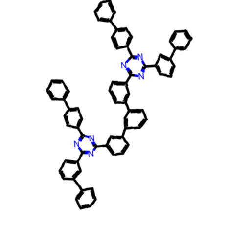 c1ccc(-c2ccc(-c3nc(-c4cccc(-c5ccccc5)c4)nc(-c4cccc(-c5cccc(-c6cccc(-c7nc(-c8ccc(-c9ccccc9)cc8)nc(-c8cccc(-c9ccccc9)c8)n7)c6)c5)c4)n3)cc2)cc1